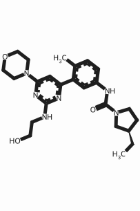 CC[C@@H]1CCN(C(=O)Nc2ccc(C)c(-c3cc(N4CCOCC4)nc(NCCO)n3)c2)C1